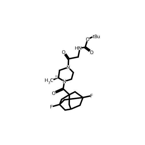 C[C@H]1CN(C(=O)CNC(=O)OC(C)(C)C)CCN1C(=O)C12CC3CC(F)(CC(F)(C3)C1)C2